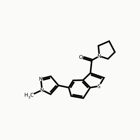 Cn1cc(-c2ccc3scc(C(=O)N4CCCC4)c3c2)cn1